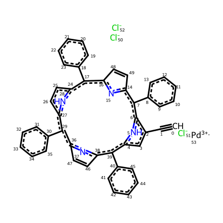 C#Cc1cc2[nH]c1c(-c1ccccc1)c1nc(c(-c3ccccc3)c3ccc([nH]3)c(-c3ccccc3)c3nc(c2-c2ccccc2)C=C3)C=C1.[Cl-].[Cl-].[Cl-].[Pd+3]